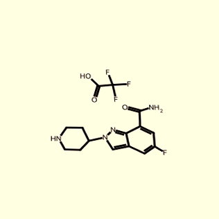 NC(=O)c1cc(F)cc2cn(C3CCNCC3)nc12.O=C(O)C(F)(F)F